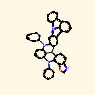 c1ccc(N2c3cc4c(cc3B3c5ccc6ncoc6c5N(c5ccccc5)c5cccc2c53)c2cccc3c5ccccc5n4c32)cc1